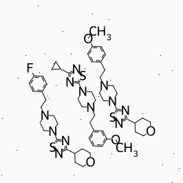 COc1ccc(CCN2CCN(c3nc(C4CCOCC4)ns3)CC2)cc1.COc1cccc(CCN2CCN(c3nc(C4CC4)ns3)CC2)c1.Fc1ccc(CCN2CCN(c3nc(C4CCOCC4)ns3)CC2)cc1